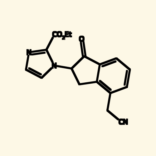 CCOC(=O)c1nccn1C1Cc2c(CC#N)cccc2C1=O